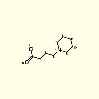 O=C(Cl)CCCN1CCCCC1